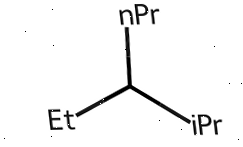 [CH2]CCC(CC)C(C)C